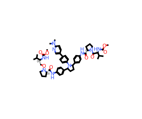 COC(=O)N[C@H](C(=O)N1CCC[C@H]1C(=O)Nc1ccc(C2CCC(c3ccc(NC(=O)[C@@H]4CCCN4OC[C@@H](NC(=O)OC)C(C)C)cc3)N2c2ccc(-c3ccc(N(C)C)nc3)cc2)cc1)C(C)C